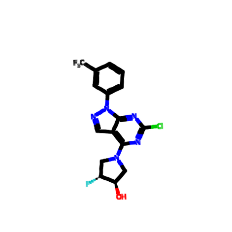 O[C@@H]1CN(c2nc(Cl)nc3c2cnn3-c2cccc(C(F)(F)F)c2)C[C@H]1F